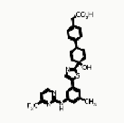 Cc1cc(Nc2nccc(C(F)(F)F)n2)cc(-c2cnc(C3(O)CCC(c4ccc(CC(=O)O)cc4)CC3)s2)c1